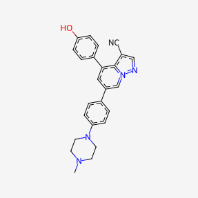 CN1CCN(c2ccc(-c3cc(-c4ccc(O)cc4)c4c(C#N)cnn4c3)cc2)CC1